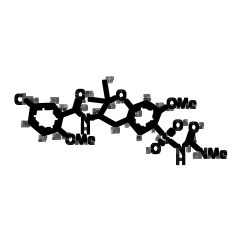 CNC(=O)NS(=O)(=O)c1cc2c(cc1OC)OC(C)(C)C(NC(=O)c1cc(Cl)ccc1OC)C2